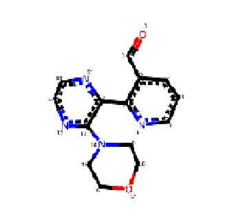 O=Cc1cccnc1-c1nccnc1N1CCOCC1